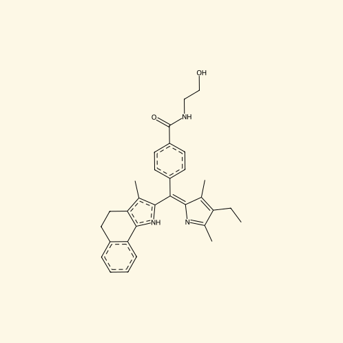 CCC1=C(C)/C(=C(\c2ccc(C(=O)NCCO)cc2)c2[nH]c3c(c2C)CCc2ccccc2-3)N=C1C